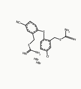 Br.Br.N#Cc1ccc(Sc2ccc(Cl)cc2CSC(=N)N)c(CSC(=N)N)c1